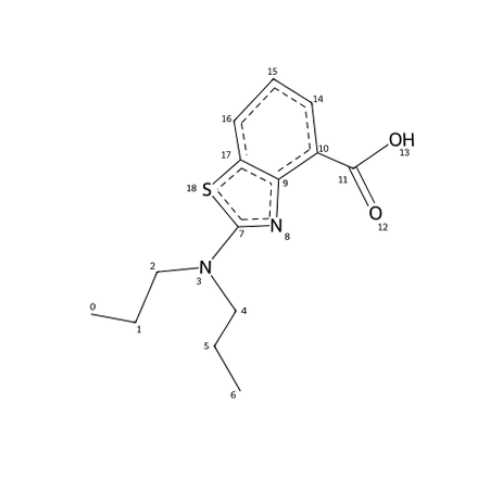 CCCN(CCC)c1nc2c(C(=O)O)cccc2s1